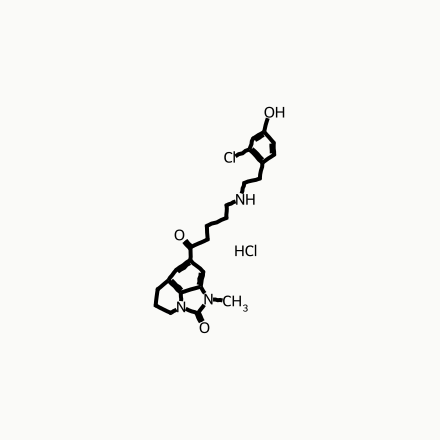 Cl.Cn1c(=O)n2c3c(cc(C(=O)CCCCNCCc4ccc(O)cc4Cl)cc31)CCC2